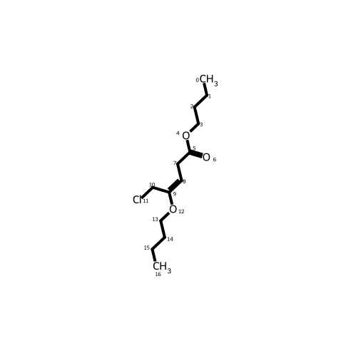 CCCCOC(=O)C/C=C(\CCl)OCCCC